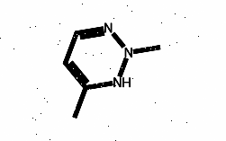 CC1=CC=NN(C)N1